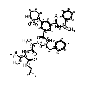 CCNC(=O)C(NC(=O)[C@H](C)NC[C@H](Cc1ccccc1)NC(=O)c1cc(C(=O)N[C@H](C)c2ccccc2)cc(N2CCCNS2(=O)=O)c1)C(C)C